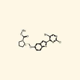 CC(C)(C)OC(=O)N1CCC[C@H]1COc1ccc2sc(-c3nc(Cl)ncc3Br)cc2c1